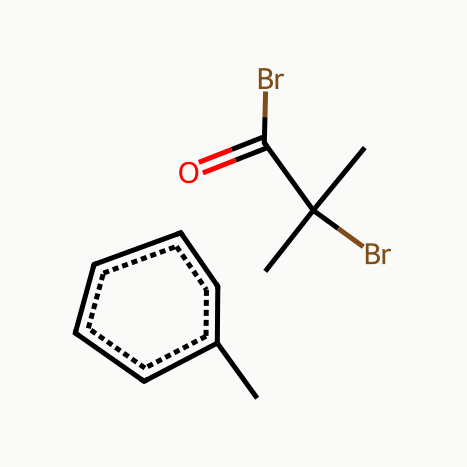 CC(C)(Br)C(=O)Br.Cc1ccccc1